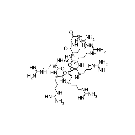 CC(=O)N[C@@H](CCCNC(=N)N)C(=O)N[C@@H](CCCNC(=N)N)C(=O)N[C@@H](CCCNC(=N)N)C(=O)N[C@@H](CCCNC(=N)N)C(=O)N[C@@H](CCCNC(=N)N)C(=O)N[C@@H](CCCNC(=N)N)C(=O)NCC(=O)S